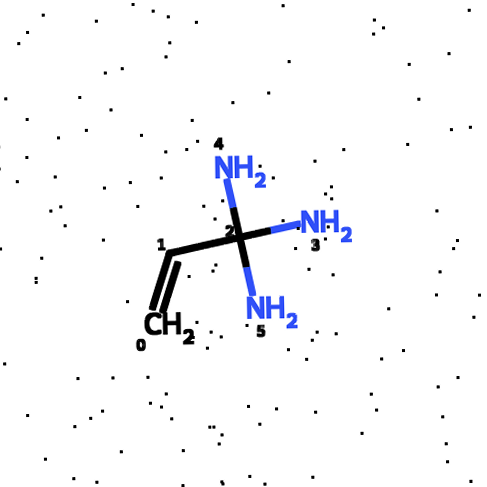 C=CC(N)(N)N